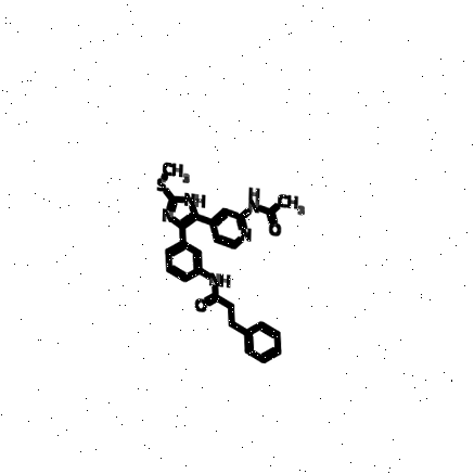 CSc1nc(-c2cccc(NC(=O)CCc3ccccc3)c2)c(-c2ccnc(NC(C)=O)c2)[nH]1